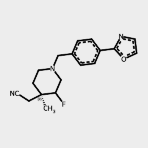 C[C@]1(CC#N)CCN(Cc2ccc(-c3ncco3)cc2)CC1F